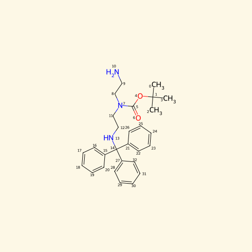 CC(C)(C)OC(=O)N(CCN)CCNC(c1ccccc1)(c1ccccc1)c1ccccc1